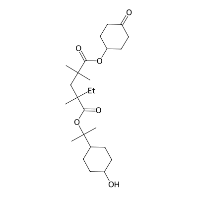 CCC(C)(CC(C)(C)C(=O)OC1CCC(=O)CC1)C(=O)OC(C)(C)C1CCC(O)CC1